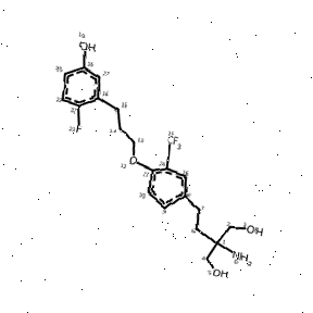 NC(CO)(CO)CCc1ccc(OCCCc2cc(O)ccc2F)c(C(F)(F)F)c1